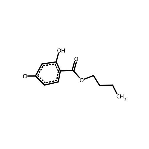 CCCCOC(=O)c1ccc(Cl)cc1O